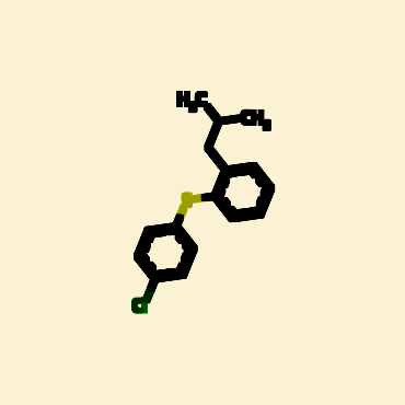 CC(C)Cc1ccccc1Sc1ccc(Cl)cc1